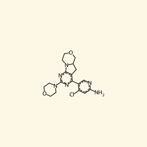 Nc1cc(Cl)c(-c2nc(N3CCOCC3)nc3c2CC2COCCN32)cn1